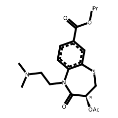 CC(=O)O[C@@H]1CSc2cc(C(=O)OC(C)C)ccc2N(CCN(C)C)C1=O